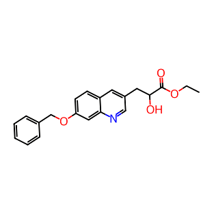 CCOC(=O)C(O)Cc1cnc2cc(OCc3ccccc3)ccc2c1